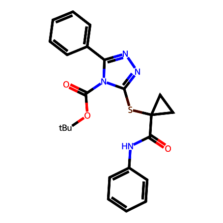 CC(C)(C)OC(=O)n1c(SC2(C(=O)Nc3ccccc3)CC2)nnc1-c1ccccc1